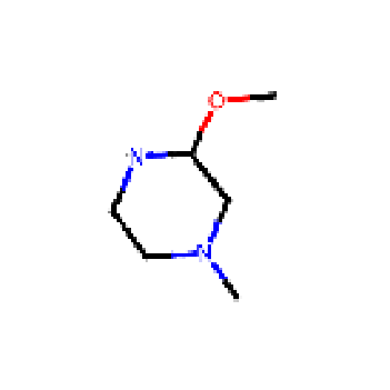 COC1CN(C)CC[N]1